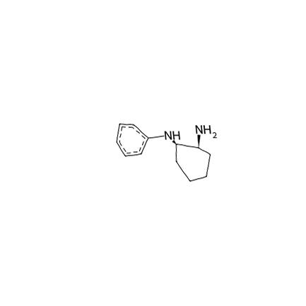 N[C@H]1CCCC[C@H]1Nc1ccccc1